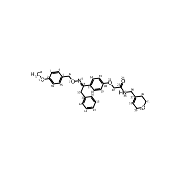 COc1ccc(CO/N=C(\Cc2ccccc2)c2ccc(OCC(=O)NCC3=CCOCC3)cc2)cc1